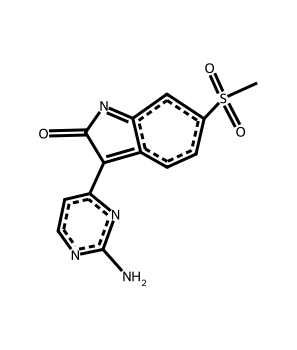 CS(=O)(=O)c1ccc2c(c1)=NC(=O)C=2c1ccnc(N)n1